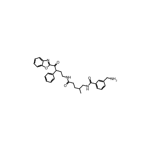 CC(CCC(=O)NCCC(C(=O)c1nc2ccccc2o1)c1ccccc1)CNC(=O)c1cccc(CN)c1